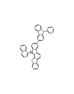 c1ccc(C2c3ccccc3-c3cc(-c4ccc5c(c4)c4ccc6c(c4n5-c4cccc5ccccc45)Cc4ccccc4-6)ccc32)cc1